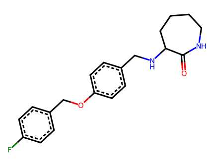 O=C1NCCCCC1NCc1ccc(OCc2ccc(F)cc2)cc1